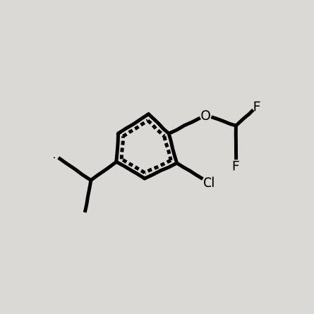 [CH2]C(C)c1ccc(OC(F)F)c(Cl)c1